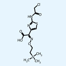 C[Si](C)(C)CCON=C(C(=O)O)c1csc(NC(=O)CCl)n1